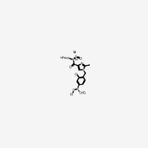 CCCCCN(C(=O)c1cn(Cc2ccc(N(C=O)OCC)cc2Cl)c(C)n1)[SH](=O)=O